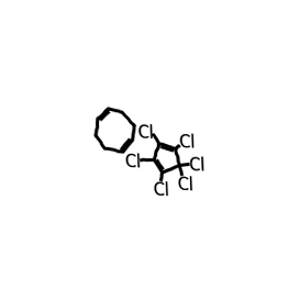 C1=CCCC=CCC1.ClC1=C(Cl)C(Cl)(Cl)C(Cl)=C1Cl